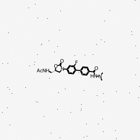 CC(=O)NC[C@H]1CN(c2ccc(-c3ccc(C(=O)NN(C)C)cc3)c(F)c2)C(=O)O1